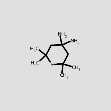 CC1(C)CC(N)(N)CC(C)(C)S1